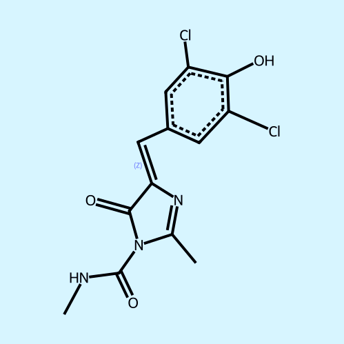 CNC(=O)N1C(=O)/C(=C/c2cc(Cl)c(O)c(Cl)c2)N=C1C